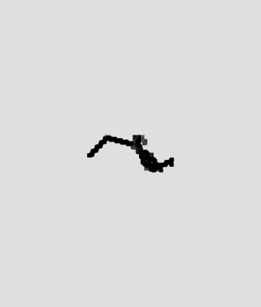 CCCCCCCC/C=C\CCCCCCCCOC(CN)CO[C@H]1CC[C@@]2(C)C(=CC[C@H]3[C@@H]4CC[C@H]([C@H](C)CCCC(C)C)[C@@]4(C)CC[C@@H]32)C1